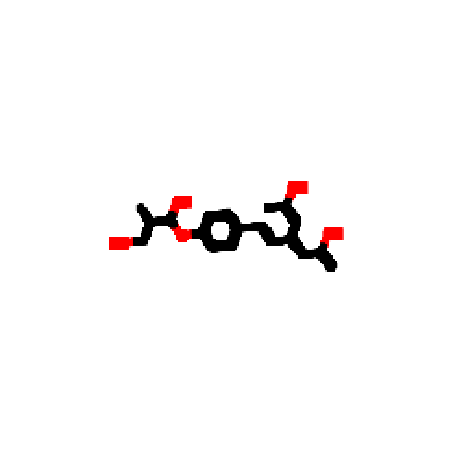 C=C(O)/C=C(/C=C/c1ccc(OC(O)C(C)CO)cc1)\C=C(/C)O